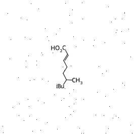 CCC(C)C(C)CCC=CC(=O)O